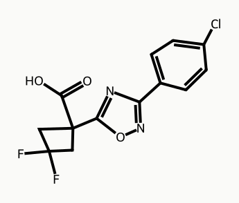 O=C(O)C1(c2nc(-c3ccc(Cl)cc3)no2)CC(F)(F)C1